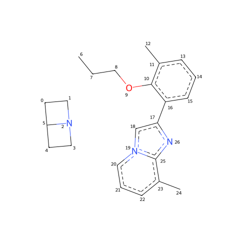 C1CN2CCC12.CCCOc1c(C)cccc1-c1cn2cccc(C)c2n1